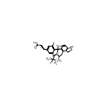 CC1Cc2c(ccc3[nH]ncc23)C(C)(c2c(F)cc(/C=C/C(=O)O)cc2F)N1CC(C)(C)F